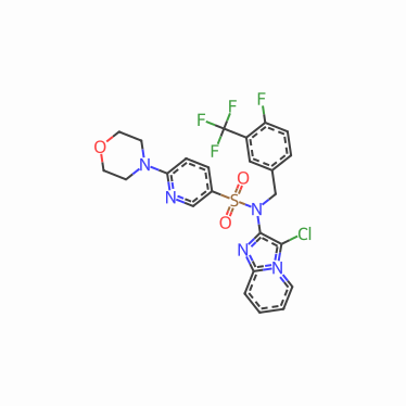 O=S(=O)(c1ccc(N2CCOCC2)nc1)N(Cc1ccc(F)c(C(F)(F)F)c1)c1nc2ccccn2c1Cl